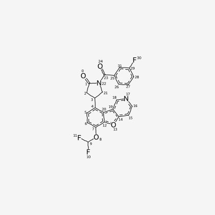 O=C1CC(c2ccc(OC(F)F)c3oc4ccncc4c23)CN1C(=O)c1cccc(F)c1